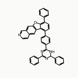 c1ccc(C2=NC(c3ccccc3)NC(c3ccc(-c4ccc(-c5ccccc5)c5oc6cc7cnccc7cc6c45)cc3)=N2)cc1